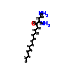 CCCCCCCCCCCCCC(=O)C(N)CCN